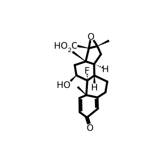 C[C@@]12C[C@H]3[C@@H]4CCC5=CC(=O)C=C[C@]5(C)[C@@]4(F)[C@@H](O)C[C@]3(C)[C@]1(C(=O)O)O2